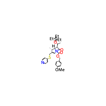 CC[Si](CC)(CC)OC(C)[C@H]1C(=O)[N+]2(C(=O)OCc3ccc(OC)cc3)C=C(CSc3ccncc3)[C@H](C)[C@@H]12